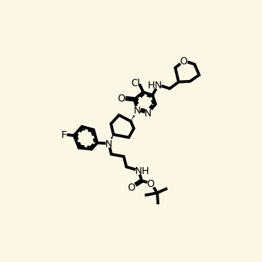 CC(C)(C)OC(=O)NCCCN(c1ccc(F)cc1)[C@H]1CC[C@@H](n2ncc(NCC3CCCOC3)c(Cl)c2=O)CC1